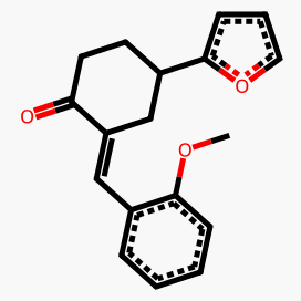 COc1ccccc1C=C1CC(c2ccco2)CCC1=O